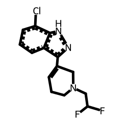 FC(F)CN1CCC=C(c2n[nH]c3c(Cl)cccc23)C1